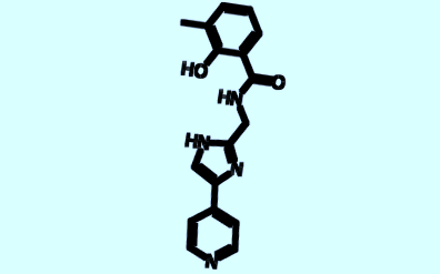 Cc1cccc(C(=O)NCc2nc(-c3ccncc3)c[nH]2)c1O